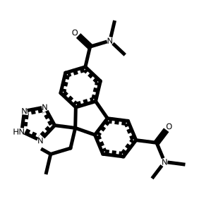 CC(C)CC1(c2nn[nH]n2)c2ccc(C(=O)N(C)C)cc2-c2cc(C(=O)N(C)C)ccc21